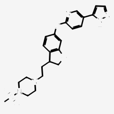 CS(=O)(=O)N1CCN(CCC2COc3cc(Oc4ccc(-c5ccn[nH]5)cn4)ccc32)CC1